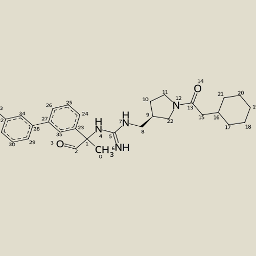 CC(C=O)(NC(=N)NC[C@H]1CCN(C(=O)CC2CCCCC2)C1)c1cccc(-c2cccc(Cl)c2)c1